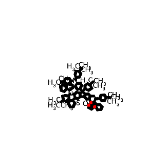 CC(C)(C)c1ccc([C@H](Cc2cc3c(c4oc5ccccc5c24)-c2c(cc(N(c4ccc(C(C)(C)C)cc4)c4cccc5ccccc45)c4c2sc2ccccc24)C3(c2ccc(N(c3ccc(C(C)(C)C)cc3)c3ccc(C(C)(C)C)cc3)cc2)c2ccc(C(C)(C)C)cc2)c2cccc3ccccc23)cc1